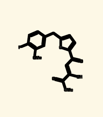 COC(=O)C(O)=CC(=O)c1ccc(Cc2ccc(F)c(OC)c2)o1